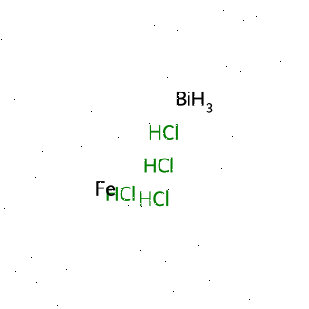 Cl.Cl.Cl.Cl.[BiH3].[Fe]